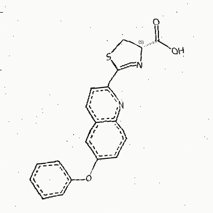 O=C(O)[C@H]1CSC(c2ccc3cc(Oc4ccccc4)ccc3n2)=N1